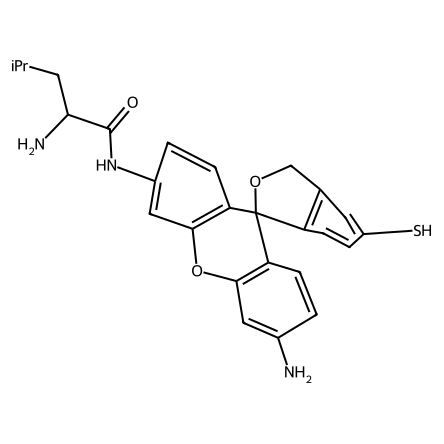 CC(C)CC(N)C(=O)Nc1ccc2c(c1)Oc1cc(N)ccc1C21OCc2cc(S)ccc21